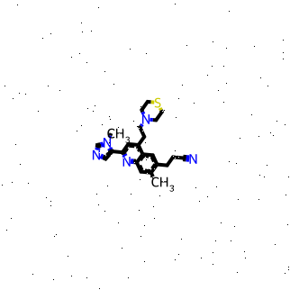 Cc1cc2nc(-c3cncn3C)cc(CCN3CCSCC3)c2cc1CCC#N